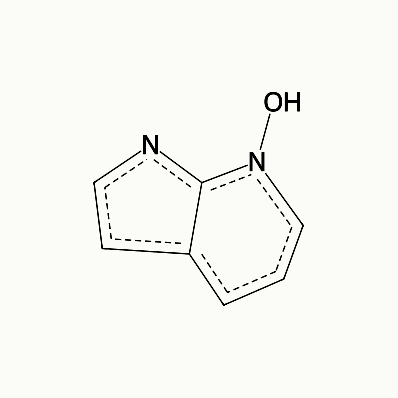 On1cccc2ccnc1-2